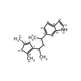 Cc1cc(C(C)CC(C)c2ccc3cc[nH]c3c2)c(C)s1